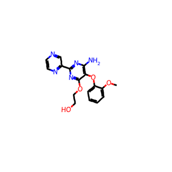 COc1ccccc1Oc1c(N)nc(-c2cnccn2)nc1OCCO